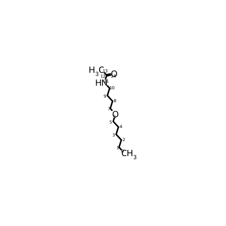 CCCCCCOCCCCNC(C)=O